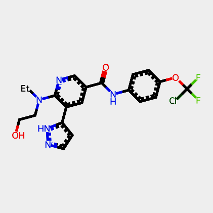 CCN(CCO)c1ncc(C(=O)Nc2ccc(OC(F)(F)Cl)cc2)cc1-c1ccn[nH]1